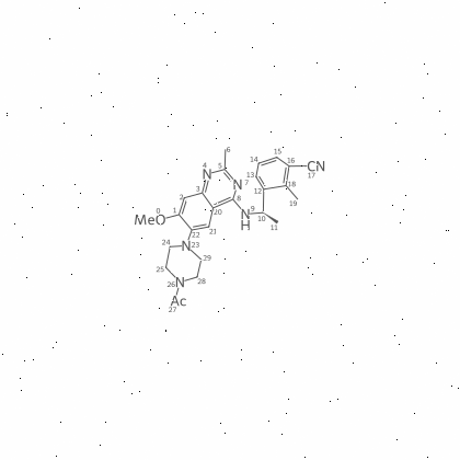 COc1cc2nc(C)nc(N[C@H](C)c3cccc(C#N)c3C)c2cc1N1CCN(C(C)=O)CC1